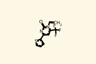 C=Cn1c(C(F)(F)F)cc(-c2cccs2)nc1=O